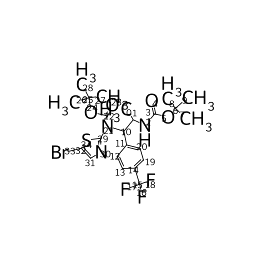 CC(NC(=O)OC(C)(C)C)C(c1ccc(C(F)(F)F)cc1)N(C(=O)OC(C)(C)C)c1ncc(Br)s1